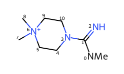 CNC(=N)N1CC[N+](C)(C)CC1